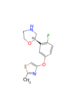 Cc1nc(Oc2ccc(F)c([C@@H]3CNCCO3)c2)cs1